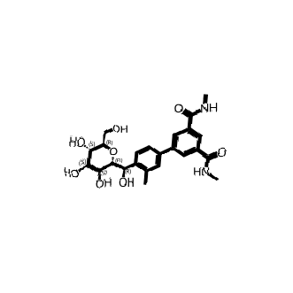 CNC(=O)c1cc(C(=O)NC)cc(-c2ccc([C@@H](O)[C@H]3O[C@H](CO)[C@@H](O)[C@H](O)[C@@H]3O)c(C)c2)c1